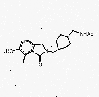 CC(=O)NC[C@H]1CC[C@H](CN2Cc3ccc(O)c(F)c3C2=O)CC1